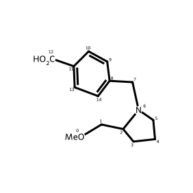 COCC1CCCN1Cc1ccc(C(=O)O)cc1